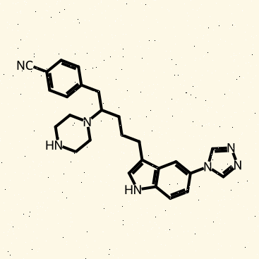 N#Cc1ccc(CC(CCCc2c[nH]c3ccc(-n4cnnc4)cc23)N2CCNCC2)cc1